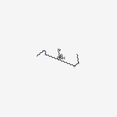 CCCCC/C=C\C/C=C\CCCCCCCCC(CCCCCCCC/C=C\C/C=C\CCCCC)NS(=O)(=O)CCCN(C)C